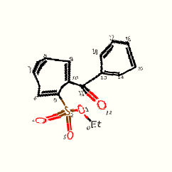 CCOS(=O)(=O)c1ccccc1C(=O)c1ccccc1